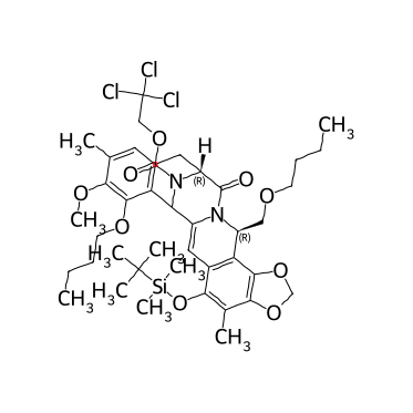 CCCCOC[C@H]1c2c(c(O[Si](C)(C)C(C)(C)C)c(C)c3c2OCO3)C=C2C3c4c(cc(C)c(OC)c4OCCCC)C[C@H](C(=O)N21)N3C(=O)OCC(Cl)(Cl)Cl